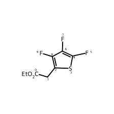 CCOC(=O)Cc1sc(F)c(F)c1F